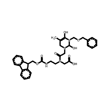 CC1=C(O)N(COCc2ccccc2)C(O)N(CC(=O)N(CCNC(=O)OCC2c3ccccc3-c3ccccc32)CC(=O)O)C1